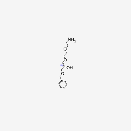 NCCOCCO/C=C(\O)COCc1ccccc1